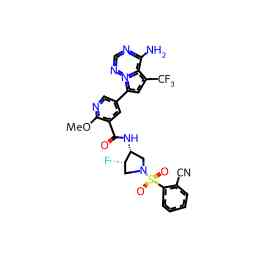 COc1ncc(-c2cc(C(F)(F)F)c3c(N)ncnn23)cc1C(=O)N[C@@H]1CN(S(=O)(=O)c2ccccc2C#N)C[C@@H]1F